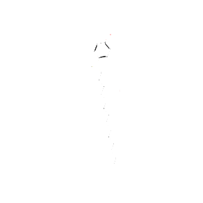 CCCCCCCCCCCCCC[S+](C)c1ccc(O)cc1C.[Br-]